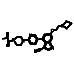 C=C(C)C(=O)N1CCN(c2ccc(-c3cc(OCCN4CCC4)cn4ncc(C#N)c34)cn2)CC1